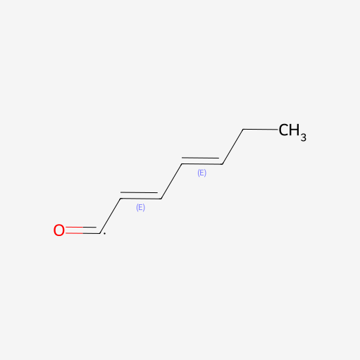 CC/C=C/C=C/[C]=O